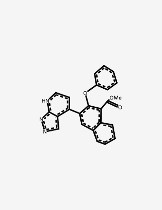 COC(=O)c1c(Oc2ccccc2)c(-c2cc[nH]c3nncc2-3)cc2ccccc12